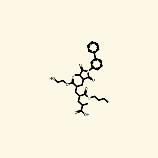 CCCCOC(=O)C(CC(C)C(=O)O)CC(CC1C(=O)N(c2cccc(-c3ccccc3)c2)C(=O)C1C)C(=O)OCCO